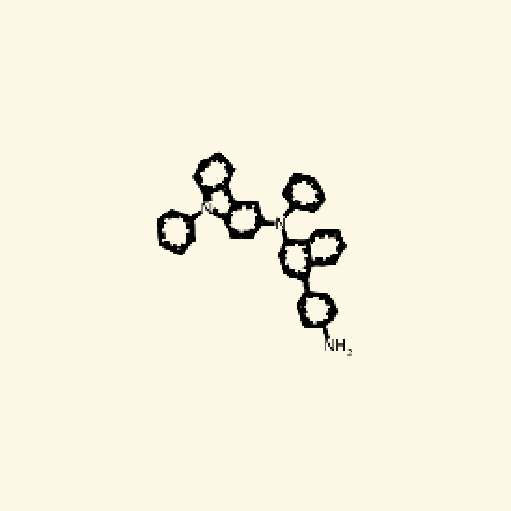 Nc1ccc(-c2ccc(N(c3ccccc3)c3ccc4c(c3)c3ccccc3n4-c3ccccc3)c3ccccc23)cc1